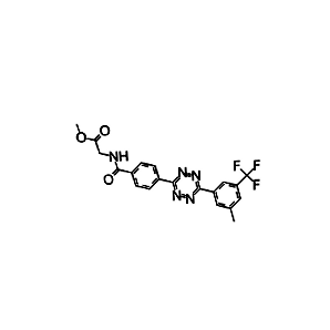 COC(=O)CNC(=O)c1ccc(-c2nnc(-c3cc(C)cc(C(F)(F)F)c3)nn2)cc1